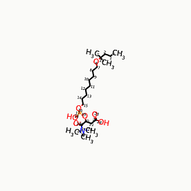 CCCC(C)(C)OCCCCCCCCCOP(O)OC(CC(=O)O)C([O-])[N+](C)(C)C